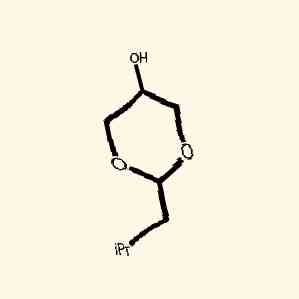 CC(C)CC1OCC(O)CO1